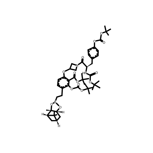 CC(C)(C)OC(=O)N[C@H](Cc1ccc(OC(=O)OC(C)(C)C)cc1)C(=O)N1CC(Oc2ccc(CCB3O[C@@H]4C[C@@H]5C[C@@H](C5(C)C)[C@]4(C)O3)c(OC(=O)OC(C)(C)C)c2C(=O)OC(C)(C)C)C1